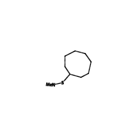 CNSC1CCCCCCC1